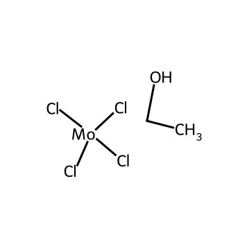 CCO.[Cl][Mo]([Cl])([Cl])[Cl]